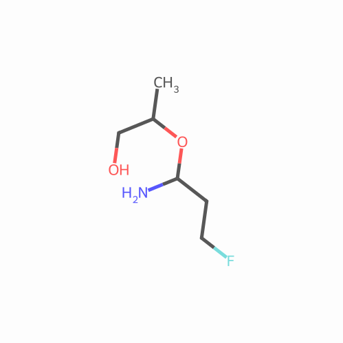 CC(CO)OC(N)CCF